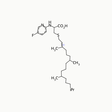 C/C(=C\CSCC(Nc1ccc(F)cn1)C(=O)O)CCCC(C)CCCC(C)CCCC(C)C